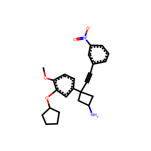 COc1ccc(C2(C#Cc3cccc([N+](=O)[O-])c3)CC(N)C2)cc1OC1CCCC1